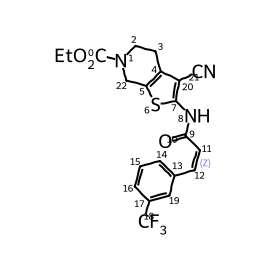 CCOC(=O)N1CCc2c(sc(NC(=O)/C=C\c3cccc(C(F)(F)F)c3)c2C#N)C1